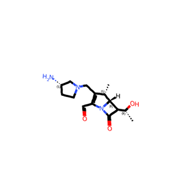 C[C@@H](O)C1C(=O)N2C(C=O)=C(CN3CC[C@H](N)C3)[C@H](C)[C@H]12